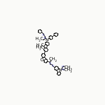 C=C/C(=C\C=C\c1ccc2c(c1)c1ccccc1n2C(/C=C\C)=C/C)c1ccc2oc3ccc(C4=CC5=C(CC4)C4=C(C=C(N(C6=CCC(c7ccccc7)C=C6)/C(C=C)=C/C=C/C6C=CC=CC6)CC4)C5(C)C)cc3c2c1